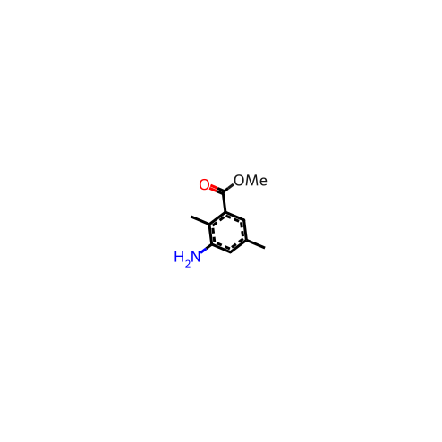 COC(=O)c1cc(C)cc(N)c1C